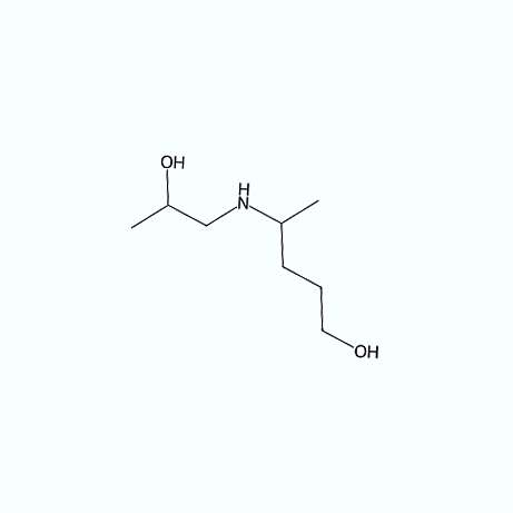 CC(O)CNC(C)CCCO